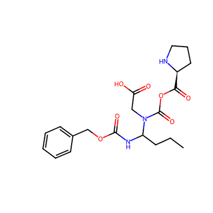 CCCC(NC(=O)OCc1ccccc1)N(CC(=O)O)C(=O)OC(=O)[C@@H]1CCCN1